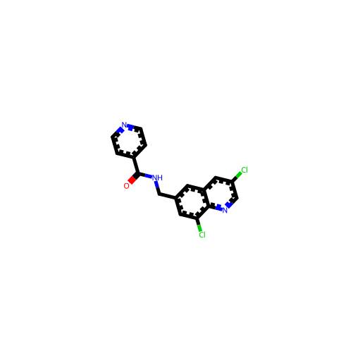 O=C(NCc1cc(Cl)c2ncc(Cl)cc2c1)c1ccncc1